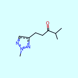 CC(C)C(=O)CCc1cnn(C)n1